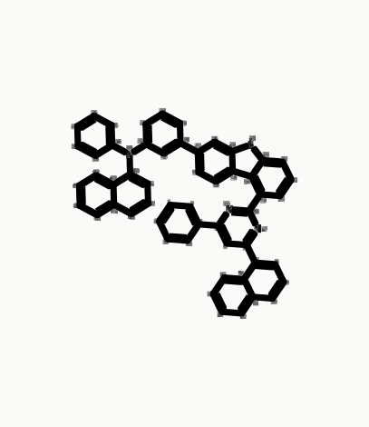 c1ccc(-c2cc(-c3cccc4ccccc34)nc(-c3cccc4sc5cc(-c6cccc(N(c7ccccc7)c7cccc8ccccc78)c6)ccc5c34)n2)cc1